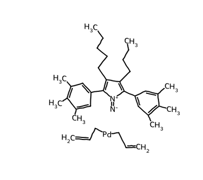 C=C[CH2][Pd][CH2]C=C.CCCCCC1=C(c2cc(C)c(C)c(C)c2)[N+](=[N-])C(c2cc(C)c(C)c(C)c2)=C1CCCC